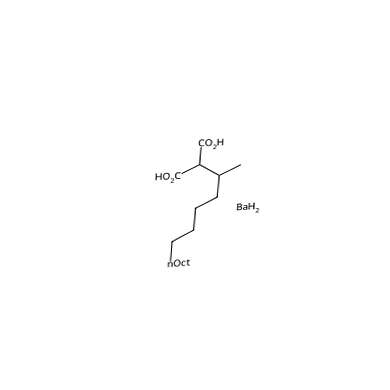 CCCCCCCCCCCCC(C)C(C(=O)O)C(=O)O.[BaH2]